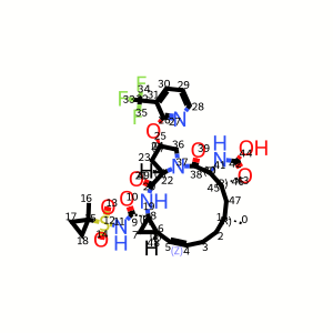 C[C@@H]1CC/C=C\[C@@H]2C[C@@]2(C(=O)NS(=O)(=O)C2(C)CC2)NC(=O)[C@@H]2C[C@@H](Oc3ncccc3C(F)(F)F)CN2C(=O)[C@@H](NC(=O)O)[C@H](C)C1